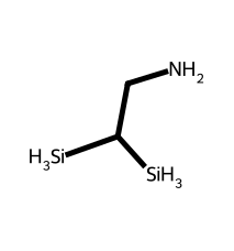 NCC([SiH3])[SiH3]